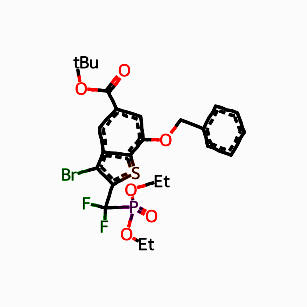 CCOP(=O)(OCC)C(F)(F)c1sc2c(OCc3ccccc3)cc(C(=O)OC(C)(C)C)cc2c1Br